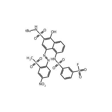 CC(C)(C)NS(=O)(=O)c1cc(N=Nc2ccc([N+](=O)[O-])cc2S(C)(=O)=O)c2c(NS(=O)(=O)c3cccc(S(=O)(=O)F)c3)cccc2c1O